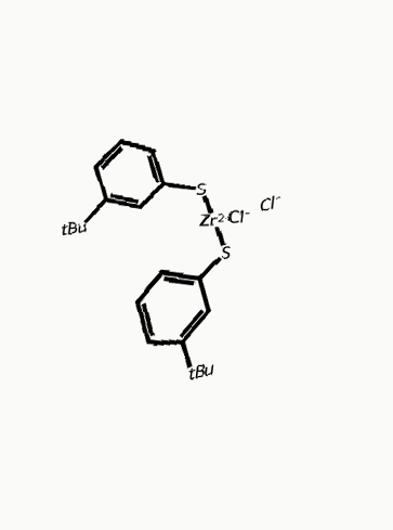 CC(C)(C)c1cccc([S][Zr+2][S]c2cccc(C(C)(C)C)c2)c1.[Cl-].[Cl-]